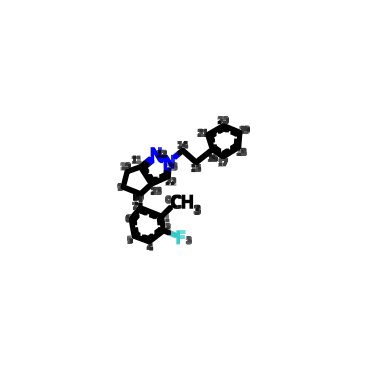 Cc1c(F)cccc1[C@@H]1CCc2nn(CCc3ccccc3)cc21